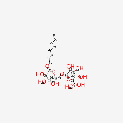 CCCCCCCCO[C@@H]1O[C@H](CO[C@H]2O[C@H](C(O)O)[C@H](O)[C@H](O)[C@H]2O)[C@@H](O)[C@H](O)[C@H]1O